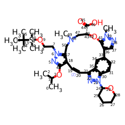 CC(C)Oc1nn(CCO[Si](C)(C)C(C)(C)C)c2c1/C=C\c1nn(C3CCCCO3)c3ccc(cc13)-c1cnn(C)c1O[C@@H](C(=O)O)CN(C)C2